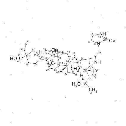 C=C(C)[C@H]1CC[C@]2(NCCN3CCNC3=O)CC[C@]3(C)[C@H](CC[C@@H]4C5(C)CC=C(C6=CCC(CF)(C(=O)O)CC6)C(C)(C)[C@@H]5CC[C@]43C)[C@@H]12